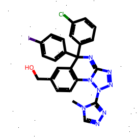 Cn1cnnc1N1N=NC2=NC(c3ccc(I)cc3)(c3cccc(Cl)c3)c3cc(CO)ccc3N21